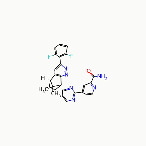 CC1(C)[C@H]2CC[C@]1(c1ccnc(-c3ccnc(C(N)=O)c3)n1)c1nnc(-c3c(F)cccc3F)cc12